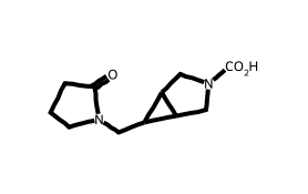 O=C(O)N1CC2C(C1)C2CN1CCCC1=O